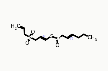 C=CCS(=O)(=O)C/C=C/S[S+]([O-])C/C=C/CCC